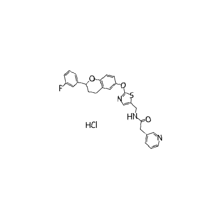 Cl.O=C(Cc1cccnc1)NCc1cnc(Oc2ccc3c(c2)CCC(c2cccc(F)c2)O3)s1